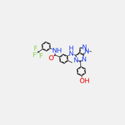 Cc1ccc(C(=O)Nc2cccc(C(F)(F)F)c2)cc1Nc1nc(-c2ccc(O)cc2)nc2c1cnn2C